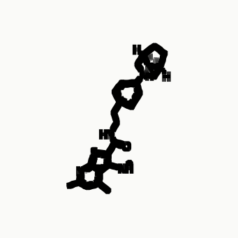 CNc1c(C(=O)NCCc2ccc(N3C[C@H]4CC[C@@H](C3)N4)cc2)sc2nc(C)cc(C)c12